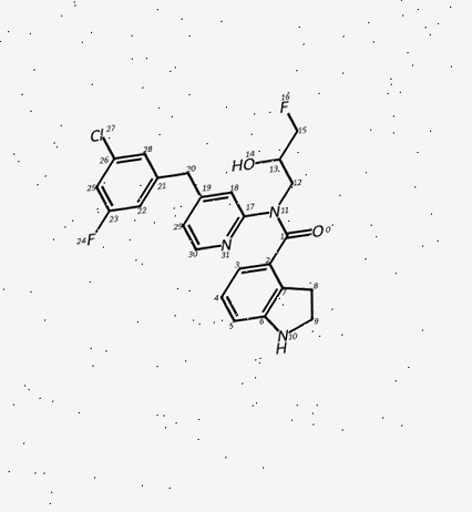 O=C(c1cccc2c1CCN2)N(CC(O)CF)c1cc(Cc2cc(F)cc(Cl)c2)ccn1